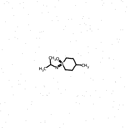 CC1CCS(=O)(=NC(C)C)CC1